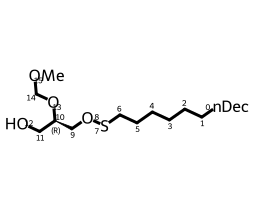 CCCCCCCCCCCCCCCCSOC[C@@H](CO)OCOC